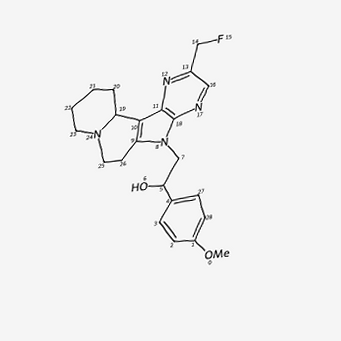 COc1ccc(C(O)Cn2c3c(c4nc(CF)cnc42)C2CCCCN2CC3)cc1